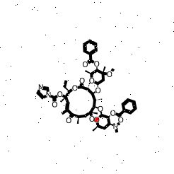 CC[C@H]1OC(=O)[C@H](C)[C@@H](O[C@H]2C[C@@](C)(OC)[C@@H](OC(=O)c3ccccc3)[C@H](C)O2)[C@H](C)[C@@H](O[C@@H]2O[C@H](C)C[C@H](N(C)C)[C@H]2OC(=O)c2ccccc2)[C@](C)(OC)C[C@@H](C)C(=O)/C(C)=C/[C@]1(C)OC(=O)n1ccnc1